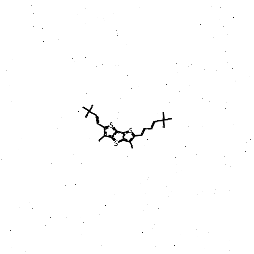 Cc1c(/C=C/C=C/C(C)(C)C)sc2c1sc1c(C)c(/C=C/C(C)(C)C)sc12